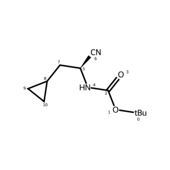 CC(C)(C)OC(=O)N[C@H](C#N)CC1CC1